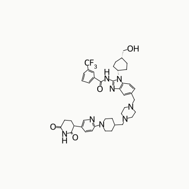 O=C1CCC(c2ccc(N3CCC(CN4CCN(Cc5ccc6c(c5)nc(NC(=O)c5cccc(C(F)(F)F)c5)n6[C@H]5CC[C@@H](CO)CC5)CC4)CC3)nc2)C(=O)N1